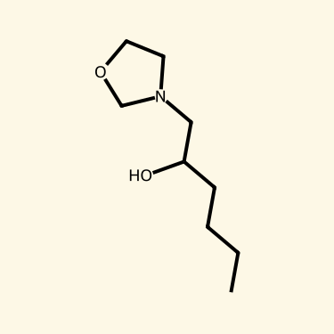 CCCCC(O)CN1CCOC1